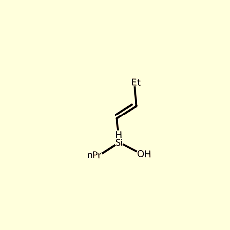 CCC=C[SiH](O)CCC